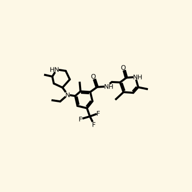 CCN(c1cc(C(F)(F)F)cc(C(=O)NCc2c(C)cc(C)[nH]c2=O)c1C)C1CCNC(C)C1